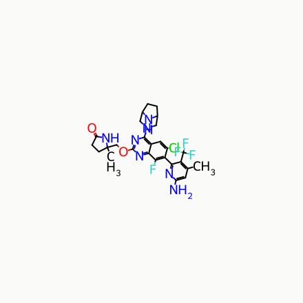 Cc1cc(N)nc(-c2c(Cl)cc3c(N4CC5CCC(C4)N5)nc(OCC4(C)CCC(=O)N4)nc3c2F)c1C(F)(F)F